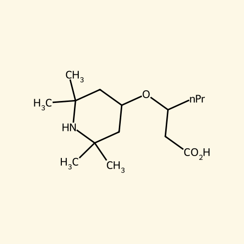 CCCC(CC(=O)O)OC1CC(C)(C)NC(C)(C)C1